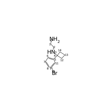 NCCNC1(c2cccc(Br)c2)CCC1